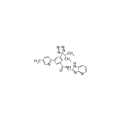 Cc1ccc(-c2cc(C(=O)NCc3nc4ncccc4[nH]3)cc(C3(C(C)C)N=NN=N3)c2)nc1